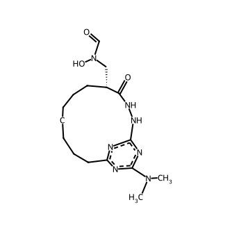 CN(C)c1nc2nc(n1)NNC(=O)[C@@H](CN(O)C=O)CCCCCCC2